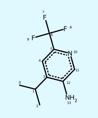 CC(C)c1cc(C(F)(F)F)ncc1N